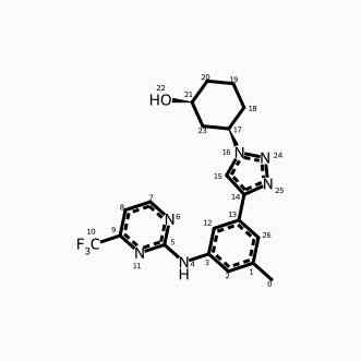 Cc1cc(Nc2nccc(C(F)(F)F)n2)cc(-c2cn([C@@H]3CCC[C@H](O)C3)nn2)c1